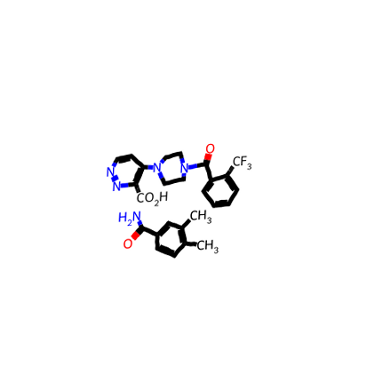 Cc1ccc(C(N)=O)cc1C.O=C(O)c1nnccc1N1CCN(C(=O)c2ccccc2C(F)(F)F)CC1